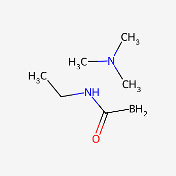 BC(=O)NCC.CN(C)C